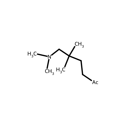 CC(=O)CCC(C)(C)CN(C)C